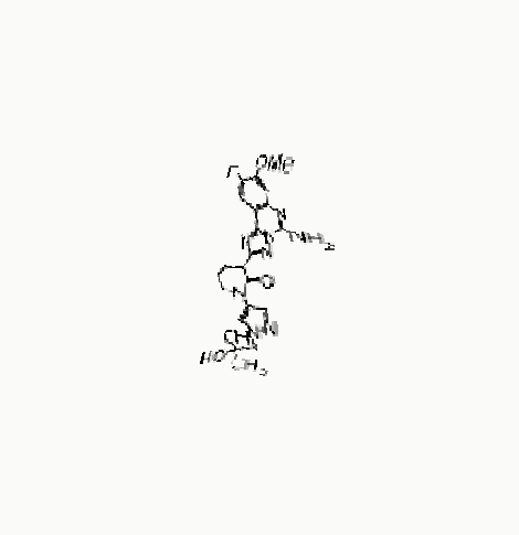 COc1cc2nc(N)n3nc([C@@H]4CCCN(c5cnn(CC(C)(C)O)c5)C4=O)nc3c2cc1F